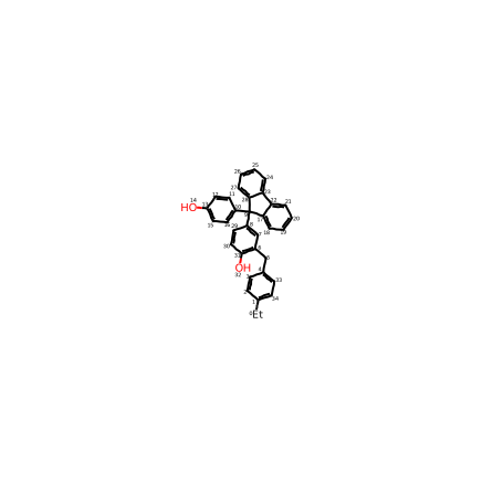 CCc1ccc(Cc2cc(C3(c4ccc(O)cc4)c4ccccc4-c4ccccc43)ccc2O)cc1